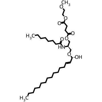 CCCCCCCCCCCCC/C=C/[C@@H](O)OC[C@H](COC(=O)CCC(=O)OCCOC)NC(=O)CCCCCCC